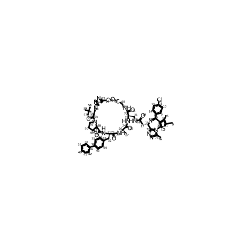 Cc1sc2c(c1C)C(c1ccc(Cl)cc1)=N[C@@H](CC(=O)NC[C@H]1NC(=O)[C@@H](C)NC(=O)[C@@H](Cc3ccc(-c4ccccc4)cc3)NC(=O)[C@@H]3CCCN3C(=O)[C@H](C(C)(C)C)n3cc(nn3)COCCNC1=O)c1nnc(C)n1-2